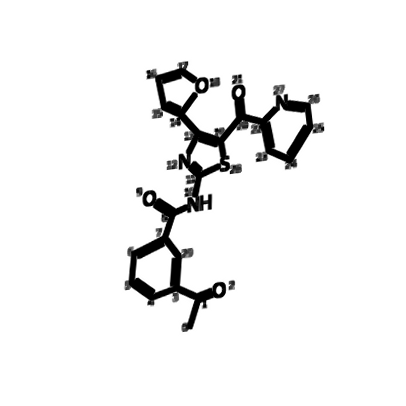 CC(=O)c1cccc(C(=O)Nc2nc(-c3ccco3)c(C(=O)c3ccccn3)s2)c1